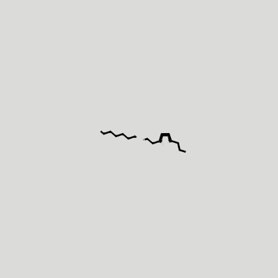 CCCc1ccc(CCOCCCCCCBr)o1